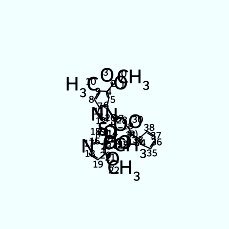 COC(=O)c1cc2c(cc1C)nc([S@+]([O-])Cc1nccc(OC)c1OC)n2COC(=O)[C@H](O)c1ccccc1